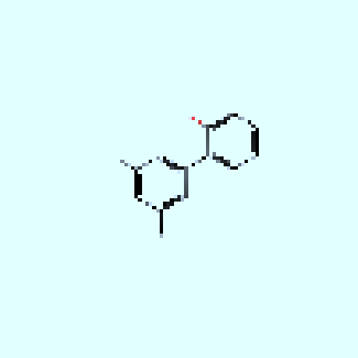 Cc1cc(C#N)cc(-c2ccccc2O)c1